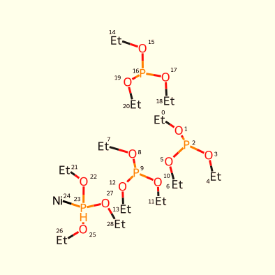 CCOP(OCC)OCC.CCOP(OCC)OCC.CCOP(OCC)OCC.CCO[PH]([Ni])(OCC)OCC